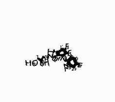 O=C(NOCC(O)CO)c1ccc(F)c(F)c1Nc1ccc(F)cc1F